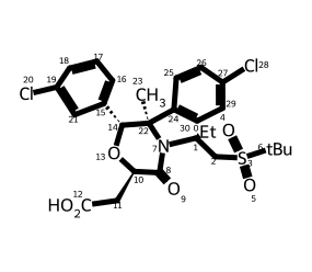 CC[C@@H](CS(=O)(=O)C(C)(C)C)N1C(=O)[C@@H](CC(=O)O)O[C@H](c2cccc(Cl)c2)[C@@]1(C)c1ccc(Cl)cc1